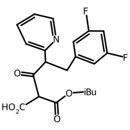 CCC(C)OC(=O)C(C(=O)O)C(=O)C(Cc1cc(F)cc(F)c1)c1ccccn1